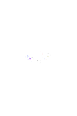 Cc1ccc(Cc2ccn3c(C(F)F)nnc3c2C)cc1CN1CC2(CCOCC2)Oc2ccc(F)cc2[S+]1[O-]